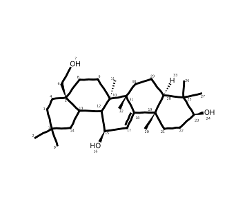 CC1(C)CC[C@]2(CO)CC[C@]3(C)C(C2C1)[C@H](O)C=C1[C@@]2(C)CC[C@H](O)C(C)(C)[C@@H]2CC[C@]13C